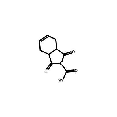 CCCC(=O)N1C(=O)C2CC=CCC2C1=O